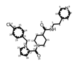 O=C(NCCc1ccncc1)C1CCN(C(=O)c2cccn2Cc2ccc(Cl)cc2)CC1